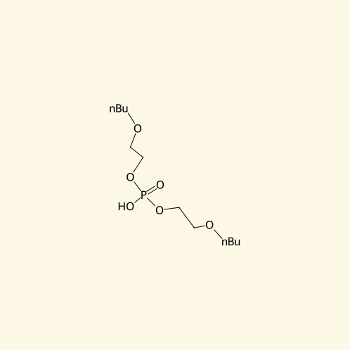 CCCCOCCOP(=O)(O)OCCOCCCC